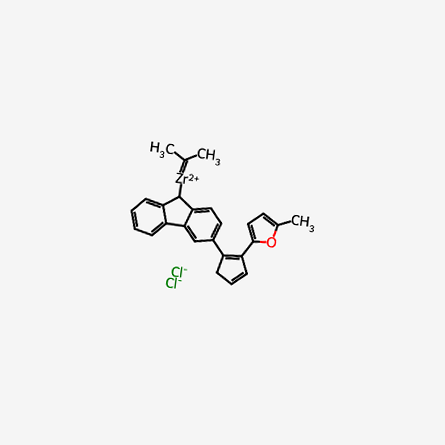 C[C](C)=[Zr+2][CH]1c2ccccc2-c2cc(C3=C(c4ccc(C)o4)C=CC3)ccc21.[Cl-].[Cl-]